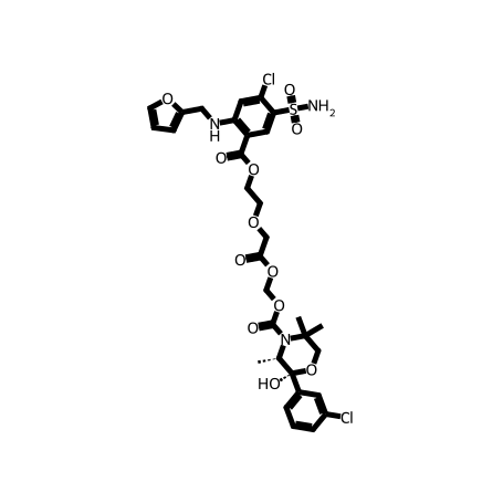 C[C@@H]1N(C(=O)OCOC(=O)COCCOC(=O)c2cc(S(N)(=O)=O)c(Cl)cc2NCc2ccco2)C(C)(C)CO[C@@]1(O)c1cccc(Cl)c1